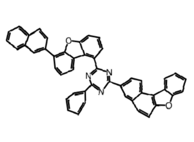 c1ccc(-c2nc(-c3ccc4c(ccc5oc6ccccc6c54)c3)nc(-c3cccc4oc5c(-c6ccc7ccccc7c6)cccc5c34)n2)cc1